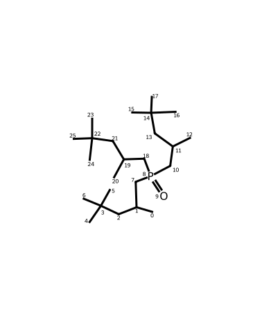 CC(CC(C)(C)C)CP(=O)(CC(C)CC(C)(C)C)CC(C)CC(C)(C)C